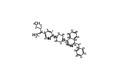 C=C(CCC)c1ccc(N2CCN(c3nnc(Cc4ccccc4)c4ccccc34)CC2)nc1